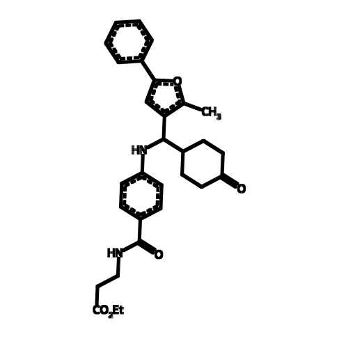 CCOC(=O)CCNC(=O)c1ccc(NC(c2cc(-c3ccccc3)oc2C)C2CCC(=O)CC2)cc1